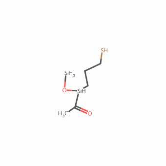 CC(=O)[SiH](CCCS)O[SiH3]